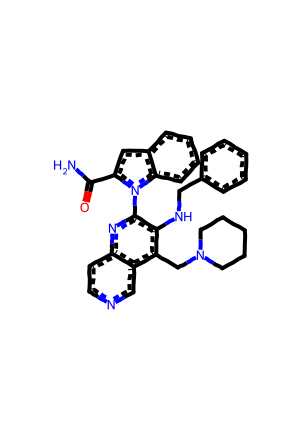 NC(=O)c1cc2ccccc2n1-c1nc2ccncc2c(CN2CCCCC2)c1NCc1ccccc1